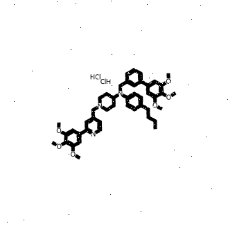 CCCCc1ccc(N(Cc2cccc(-c3cc(OC)c(OC)c(OC)c3)c2)C2CCN(Cc3ccnc(-c4cc(OC)c(OC)c(OC)c4)c3)CC2)cc1.Cl.Cl